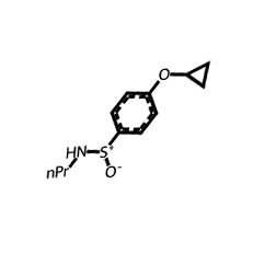 CCCN[S+]([O-])c1ccc(OC2CC2)cc1